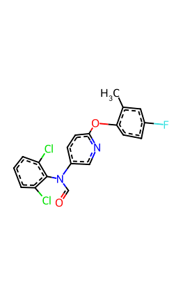 Cc1cc(F)ccc1Oc1ccc(N(C=O)c2c(Cl)cccc2Cl)cn1